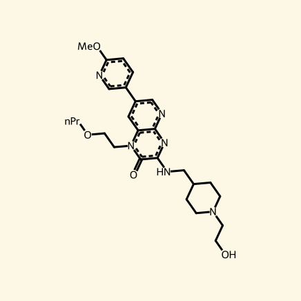 CCCOCCn1c(=O)c(NCC2CCN(CCO)CC2)nc2ncc(-c3ccc(OC)nc3)cc21